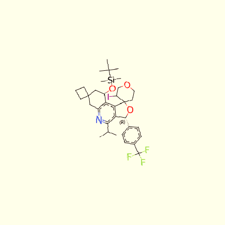 CC(C)c1nc2c(c3c1[C@@H](c1ccc(C(F)(F)F)cc1)OC31CCOCC1I)C(O[Si](C)(C)C(C)(C)C)CC1(CCC1)C2